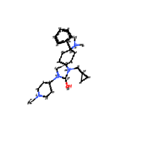 CC(=O)N1CCC(N2C[C@]3(CC[C@](c4ccccc4)(N(C)C)CC3)N(CC3CC3)C2O)CC1